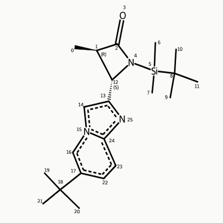 C[C@H]1C(=O)N([Si](C)(C)C(C)(C)C)[C@@H]1c1cn2cc(C(C)(C)C)ccc2n1